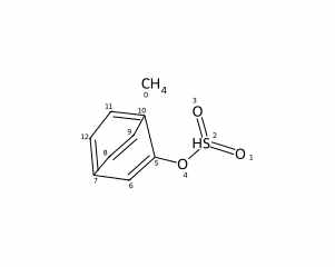 C.O=[SH](=O)Oc1cc2ccc1cc2